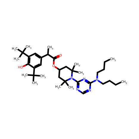 CCCCN(CCCC)c1ncnc(N2C(C)(C)CC(OC(=O)C(C)c3cc(C(C)(C)C)c(O)c(C(C)(C)C)c3)CC2(C)C)n1